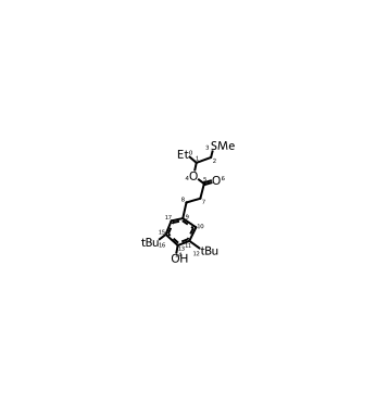 CCC(CSC)OC(=O)CCc1cc(C(C)(C)C)c(O)c(C(C)(C)C)c1